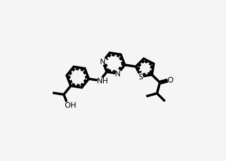 CC(C)C(=O)c1ccc(-c2ccnc(Nc3cccc(C(C)O)c3)n2)s1